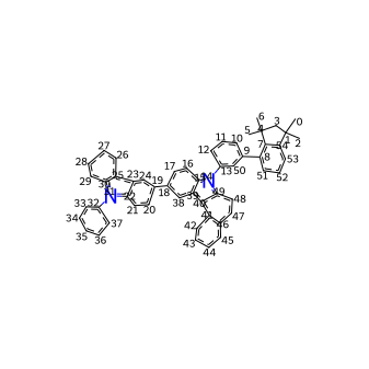 CC1(C)CC(C)(C)c2c(-c3cccc(-n4c5ccc(-c6ccc7c(c6)c6ccccc6n7-c6ccccc6)cc5c5c6ccccc6ccc54)c3)cccc21